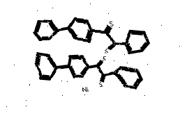 S=C(C(=S)c1ccc(-c2ccccc2)cc1)c1ccccc1.S=C(C(=S)c1ccc(-c2ccccc2)cc1)c1ccccc1.[Ni]